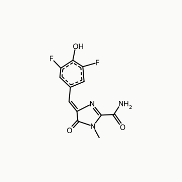 CN1C(=O)/C(=C/c2cc(F)c(O)c(F)c2)N=C1C(N)=O